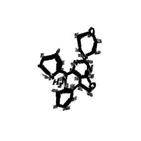 NC(c1ccccn1)c1nc(N2CCOCC2)nc2occ(-c3ccccc3)c12